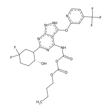 CCCCOC(=O)OC(=O)Nc1nc(C2CC(F)(F)CC[C@H]2O)nc2n[nH]c(Oc3cc(C(F)(F)F)ccn3)c12